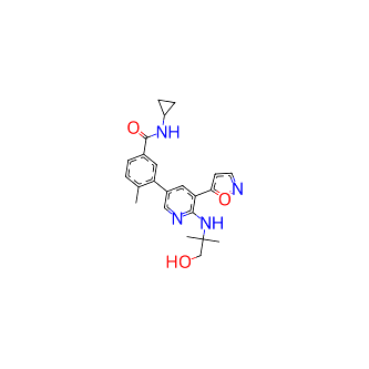 Cc1ccc(C(=O)NC2CC2)cc1-c1cnc(NC(C)(C)CO)c(-c2ccno2)c1